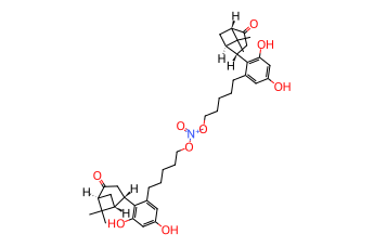 CC1(C)[C@@H]2C[C@@H]1[C@@H](c1c(O)cc(O)cc1CCCCCO[N+](=O)OCCCCCc1cc(O)cc(O)c1[C@H]1CC(=O)[C@H]3C[C@H]1C3(C)C)CC2=O